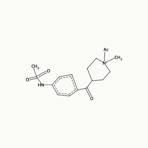 CC(=O)[N+]1(C)CCC(C(=O)c2ccc(NS(C)(=O)=O)cc2)CC1